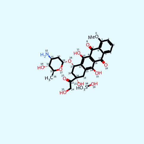 COc1cccc2c1C(=O)c1c(O)c3c(c(O)c1C2=O)C[C@@](O)(C(=O)CO)C[C@@H]3O[C@H]1C[C@H](N)[C@@H](O)[C@H](C)O1.O=S(=O)(O)O